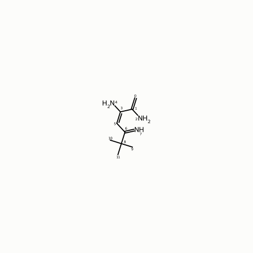 C=C(N)/C(N)=C\C(=N)C(C)(C)C